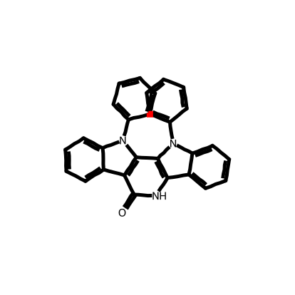 O=c1[nH]c2c3ccccc3n(-c3ccccc3)c2c2c1c1ccccc1n2-c1ccccc1